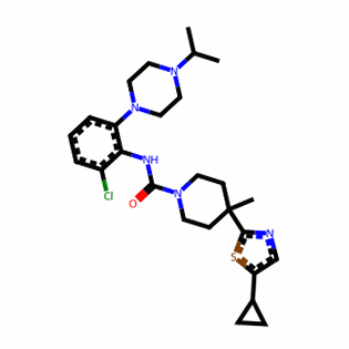 CC(C)N1CCN(c2cccc(Cl)c2NC(=O)N2CCC(C)(c3ncc(C4CC4)s3)CC2)CC1